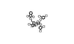 C[C@@]1(O)[C@H](Oc2ccc(Cl)cc2Cl)[C@@H](COc2ccc(Cl)cc2Cl)O[C@H]1n1cc(CCON2C(=O)c3ccccc3C2=O)c2c(Cl)ncnc21